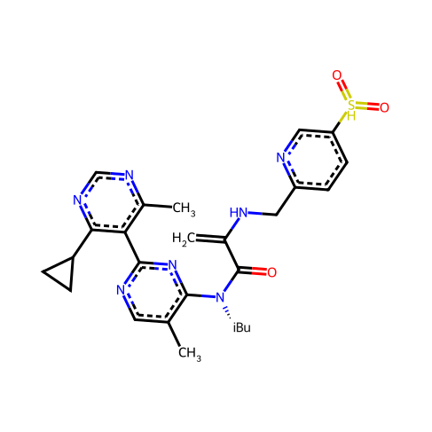 C=C(NCc1ccc([SH](=O)=O)cn1)C(=O)N(c1nc(-c2c(C)ncnc2C2CC2)ncc1C)[C@@H](C)CC